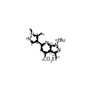 CCOC(=O)c1cc(-c2cnn(C)c2C)nc2c1c(C)nn2C(C)(C)C